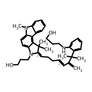 C=C(/C=C/CC/C=C1/N(CCCO)c2ccc3c(c2C1(C)C)c1ccccc1n3C)C(C)(C)c1ccccc1NCCCO